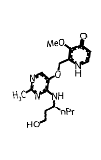 CCC[C@@H](CCO)Nc1nc(C)ncc1OCc1[nH]ccc(=O)c1OC